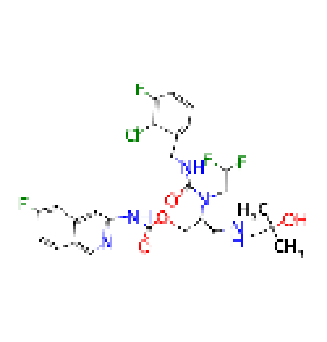 CC(C)(O)CNC[C@@H](COC(=O)Nc1cc2cc(F)ccc2cn1)N(CC(F)F)C(=O)NCc1cccc(F)c1Cl